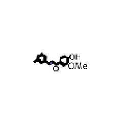 COc1cc(C(=O)/C=C/c2cccc(C)c2)ccc1O